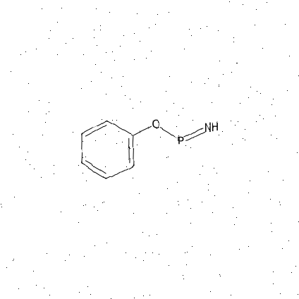 N=POc1ccccc1